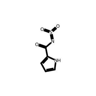 O=C(N=S(=O)=O)c1ccc[nH]1